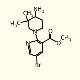 COC(=O)c1cc(Br)cnc1N1CCC(N)C(C)(C)C1